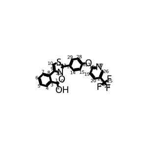 O=C(O)c1ccccc1-c1csc(-c2ccc(Oc3ccc(C(F)(F)F)cn3)cc2)n1